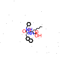 CCCCCC[C@@H](CC(=O)O)C(=O)N[C@@H](Cc1ccc2ccccc2c1)C(=O)NCc1ccccc1